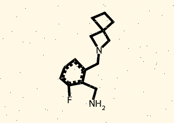 NCc1c(F)cccc1CN1CC2(CCC2)C1